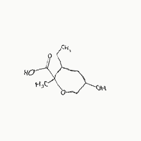 CCC1CC(O)COC1(C)C(=O)O